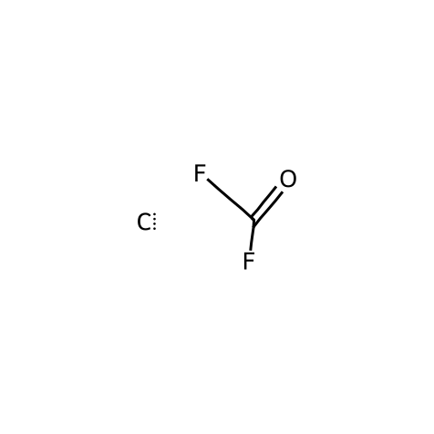 O=C(F)F.[C]